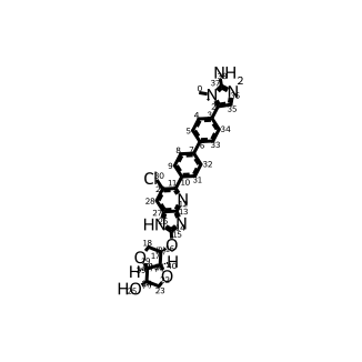 Cn1c(-c2ccc(-c3ccc(-c4nc5nc(O[C@@H]6CO[C@H]7[C@@H]6OC[C@H]7O)[nH]c5cc4Cl)cc3)cc2)cnc1N